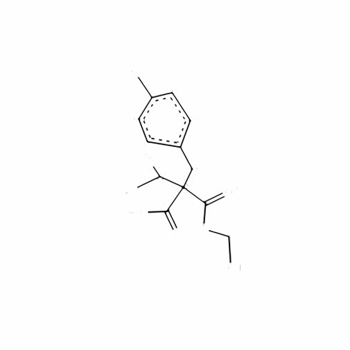 CCOC(=O)C(Cc1ccc(C)cc1)(C(C)=O)C(F)F